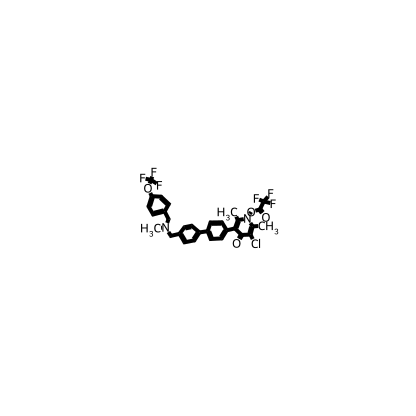 Cc1c(Cl)c(=O)c(-c2ccc(-c3ccc(CN(C)Cc4ccc(OC(F)(F)F)cc4)cc3)cc2)c(C)n1OC(=O)C(F)(F)F